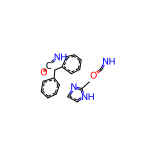 Cc1ncc[nH]1.N=C=O.N=C=O.c1ccc(Cc2ccccc2)cc1